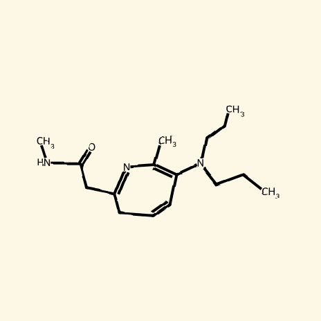 CCCN(CCC)C1=C(C)N=C(CC(=O)NC)CC=C1